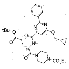 CCOC(=O)N1CCN(C(=O)[C@H](CCC(=O)OC(C)(C)C)NC(=O)c2cc(OCC3CC3)nc(-c3ccccc3)n2)CC1